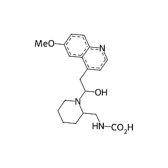 COc1ccc2nccc(CC(O)N3CCCCC3CNC(=O)O)c2c1